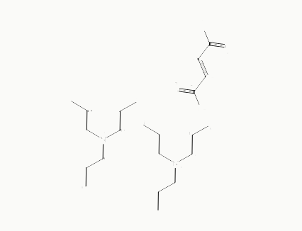 CCCN(CCC)CCC.CCCN(CCC)CCC.O=C(O)C=CC(=O)O